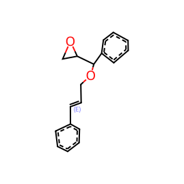 C(=C\c1ccccc1)/COC(c1ccccc1)C1CO1